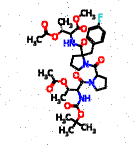 COC(=O)[C@@H](NC(=O)C1(Cc2ccc(F)cc2)CCCN1C(=O)C1CCCN1C(=O)[C@@H](NC(=O)OC(C)(C)C)[C@@H](C)OC(C)=O)[C@@H](C)OC(C)=O